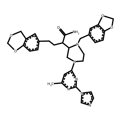 Cc1cc(N2CCN(Cc3ccc4c(c3)OCO4)C(C(CCc3ccc4c(c3)COCO4)C(N)=O)C2)nc(-n2ccnc2)n1